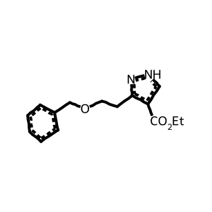 CCOC(=O)c1c[nH]nc1CCOCc1ccccc1